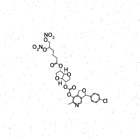 Cc1ncc2c(c1OC(=O)O[C@H]1CO[C@H]3[C@@H]1OC[C@@H]3OC(=O)CCCC(CO[N+](=O)[O-])O[N+](=O)[O-])COC2c1ccc(Cl)cc1